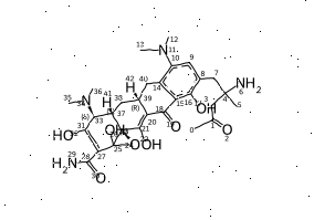 CC(=O)CC(C)(N)Cc1cc(N(C)C)c2c(c1O)C(=O)C1=C(O)[C@]34OC3(O)C(C(N)=O)=C(O)[C@@H](N(C)C)[C@@H]4C[C@@H]1C2